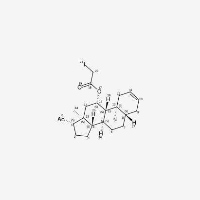 CC(=O)[C@H]1CC[C@H]2[C@@H]3CC[C@H]4CC=CC[C@]4(C)[C@H]3[C@@H](OC(=O)CI)C[C@]12C